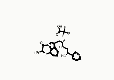 CCCC1Oc2cccc3c(C[C@@H](C)NC[C@H](O)c4cccnc4)cn(c23)C1=O.O=C(O)C(F)(F)F